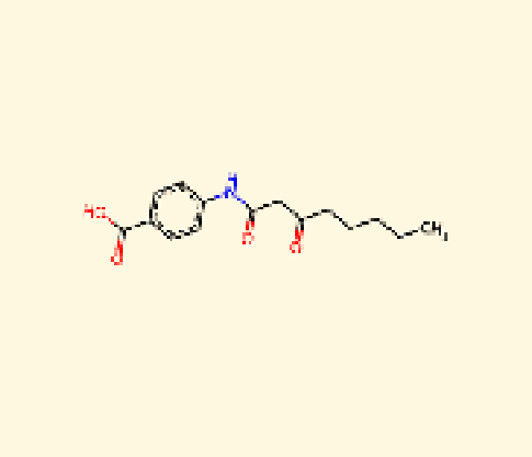 CCCCCC(=O)CC(=O)Nc1ccc(C(=O)O)cc1